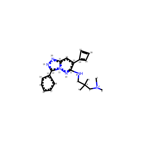 CN(C)CC(C)(C)CNc1nn2c(-c3ccccc3)nnc2cc1C1=CC=C1